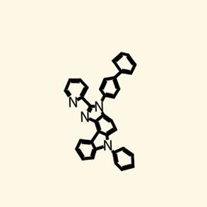 c1ccc(-c2ccc(-n3c(-c4ccccn4)nc4c5c6ccccc6n(-c6ccccc6)c5ccc43)cc2)cc1